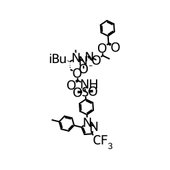 CC[C@@H](C)[C@@H](COC(=O)NS(=O)(=O)c1ccc(-n2nc(C(F)(F)F)cc2-c2ccc(C)cc2)cc1)N(C)/[N+]([O-])=N/OC(C)OC(=O)c1ccccc1